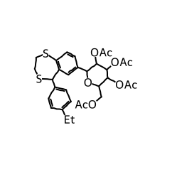 CCc1ccc(C2SCCSc3ccc(C4OC(COC(C)=O)C(OC(C)=O)C(OC(C)=O)C4OC(C)=O)cc32)cc1